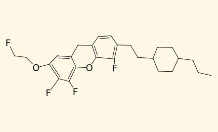 CCCC1CCC(CCc2ccc3c(c2F)Oc2c(cc(OCCF)c(F)c2F)C3)CC1